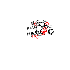 CC(=O)O[C@H]1C(=O)[C@@]2(C)C([C@H](OC(=O)c3ccccc3)[C@]3(O)C[C@H](O)C(C)=C1C3(C)C)[C@]1(OC(C)=O)CO[C@@H]1C[C@@H]2C